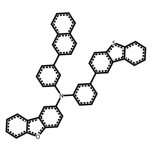 c1cc(-c2ccc3ccccc3c2)cc(N(c2cccc(-c3ccc4sc5ccccc5c4c3)c2)c2ccc3oc4ccccc4c3c2)c1